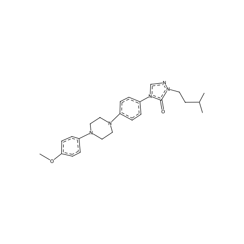 COc1ccc(N2CCN(c3ccc(-n4cnn(CCC(C)C)c4=O)cc3)CC2)cc1